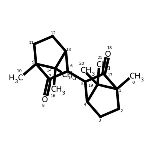 CC12CCC(C(C3C(=O)C4(C)CCC3C4(C)C)C1=O)C2(C)C